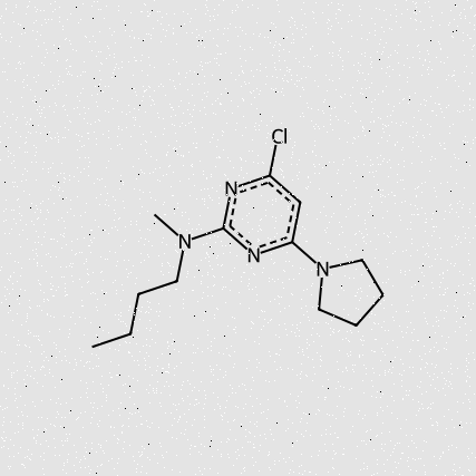 CCCCN(C)c1nc(Cl)cc(N2CCCC2)n1